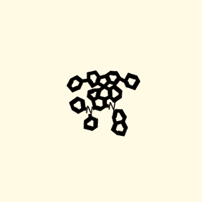 C1=C(c2ccccc2)CCC2=C1C1(c3cc(-c4ccccc4)ccc32)c2cccc3c(N(c4ccccc4)c4ccccc4)cc4c(c23)c2c1cccc2n4-c1ccc2ccccc2c1